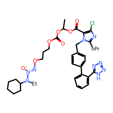 CCCc1nc(Cl)c(C(=O)OC(C)OC(=O)OCCCO/N=[N+](\[O-])N(CC)C2CCCCC2)n1Cc1ccc(-c2ccccc2-c2nnn[nH]2)cc1